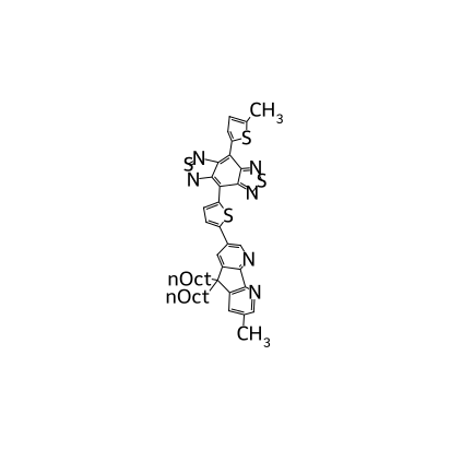 CCCCCCCCC1(CCCCCCCC)c2cc(C)cnc2-c2ncc(-c3ccc(-c4c5c(c(-c6ccc(C)s6)c6nsnc46)N=S=N5)s3)cc21